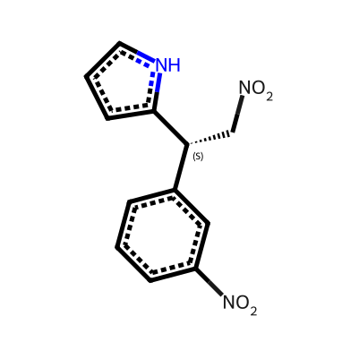 O=[N+]([O-])C[C@H](c1cccc([N+](=O)[O-])c1)c1ccc[nH]1